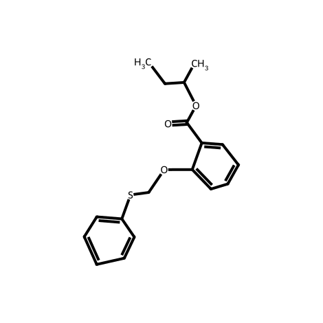 CCC(C)OC(=O)c1ccccc1OCSc1ccccc1